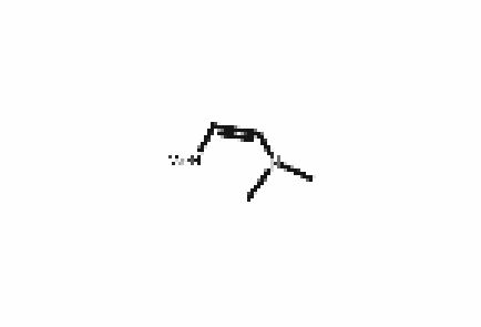 CN/C=C\N(C)C